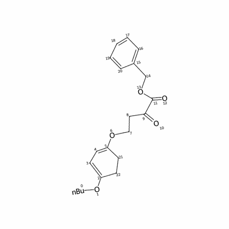 CCCCOC1=CC=C(OCCC(=O)C(=O)OCc2ccccc2)CC1